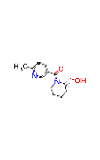 Cc1ccc(C(=O)N2CCCC[C@H]2CO)cn1